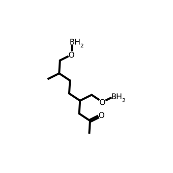 BOCC(C)CCC(COB)CC(C)=O